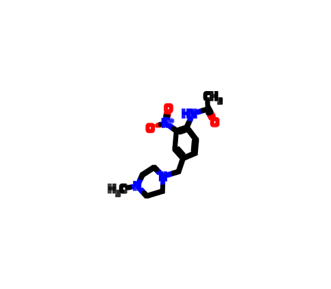 CC(=O)Nc1ccc(CN2CCN(C)CC2)cc1[N+](=O)[O-]